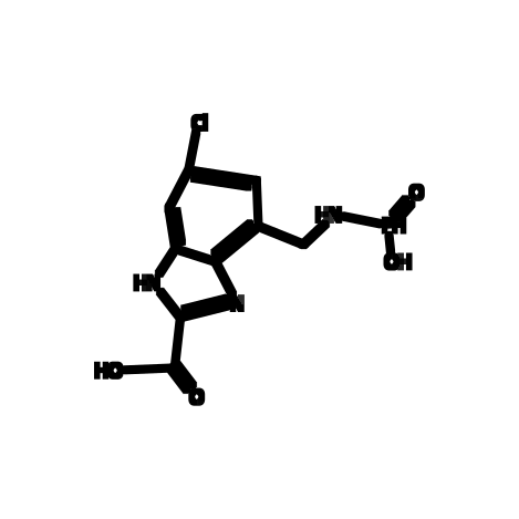 O=C(O)c1nc2c(CN[PH](=O)O)cc(Cl)cc2[nH]1